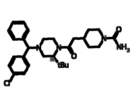 CC(C)(C)[C@H]1CN(C(c2ccccc2)c2ccc(Cl)cc2)CCN1C(=O)CC1CCN(C(N)=O)CC1